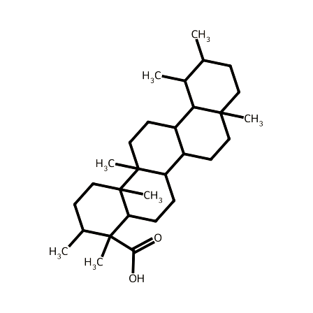 CC1CCC2(C)CCC3C(CCC4(C)C3CCC3C(C)(C(=O)O)C(C)CCC34C)C2C1C